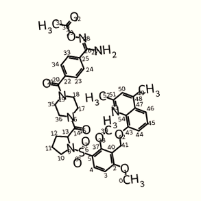 COc1ccc(S(=O)(=O)N2CCCC2C(=O)N2CCN(C(=O)c3ccc(/C(N)=N\OC(C)=O)cc3)CC2)c(OC)c1COc1cccc2c(C)cc(C)nc12